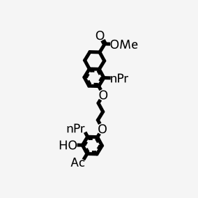 CCCc1c(OCCCOc2ccc3c(c2CCC)CC(C(=O)OC)CC3)ccc(C(C)=O)c1O